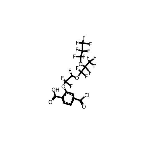 O=C(Cl)c1ccc(C(=O)O)c(OC(F)(F)C(F)OC(F)(F)C(F)(OC(F)(F)C(F)(F)C(F)(F)F)C(F)(F)F)c1